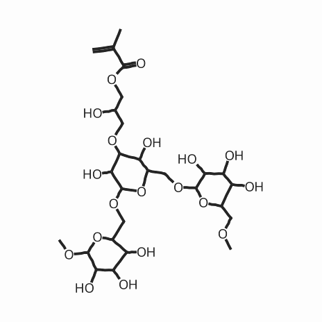 C=C(C)C(=O)OCC(O)COC1C(O)C(COC2OC(COC)C(O)C(O)C2O)OC(OCC2OC(OC)C(O)C(O)C2O)C1O